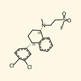 CN(CCS(=O)(=O)F)[C@H]1CC[C@@H](c2ccc(Cl)c(Cl)c2)c2ccccc21